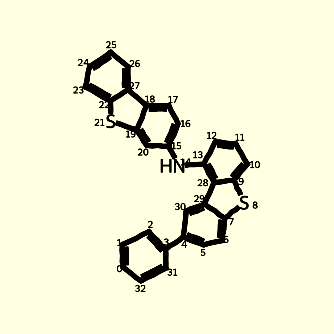 c1ccc(-c2ccc3sc4cccc(Nc5ccc6c(c5)sc5ccccc56)c4c3c2)cc1